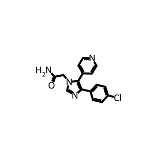 NC(=O)Cn1cnc(-c2ccc(Cl)cc2)c1-c1ccncc1